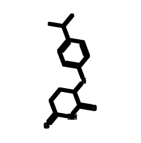 CC(C)c1ccc(SC2CCC(=O)NC2=O)cc1